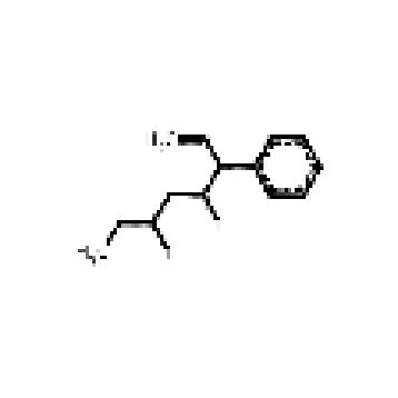 C=CC(c1ccccc1)C(I)CC(I)CC